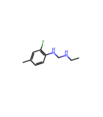 CCNCNc1ccc(C)cc1F